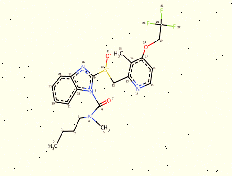 CC[CH]CN(C)C(=O)n1c([S+]([O-])Cc2nccc(OCC(F)(F)F)c2C)nc2ccccc21